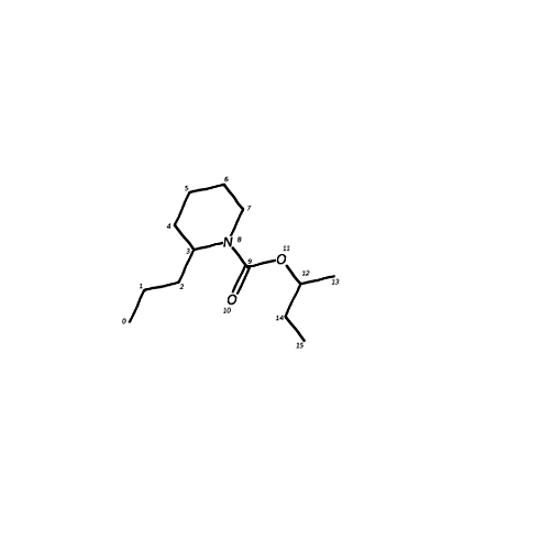 CCCC1CCCCN1C(=O)OC(C)CC